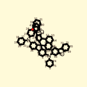 c1ccc(N(c2ccc3c(c2)C2(c4cc(N(c5ccccc5)c5ccc6c(c5)oc5ccccc56)ccc4-3)c3ccc4c(oc5ccccc54)c3-c3cccc4cccc2c34)c2ccc3c(c2)oc2ccccc23)cc1